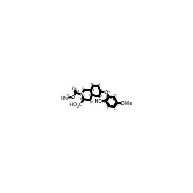 COc1ccc(C#N)c(OC2CCC3CN(C(=O)OC(C)(C)C)C(C(=O)O)CC3C2)c1